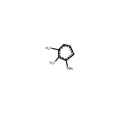 Cc1cccc(OCC(C)C)c1C